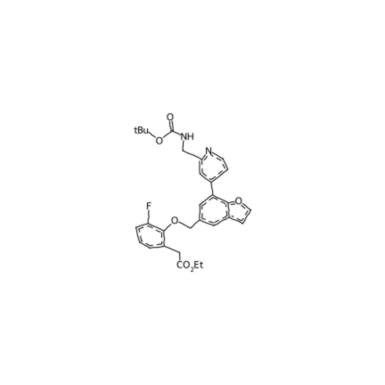 CCOC(=O)Cc1cccc(F)c1OCc1cc(-c2ccnc(CNC(=O)OC(C)(C)C)c2)c2occc2c1